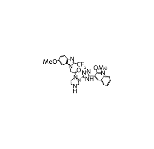 COc1ccc2nc(C(F)(F)F)n(CC(=O)N3CCNC[C@H]3c3nnc(-c4cc5ccccc5nc4OC)[nH]3)c2c1